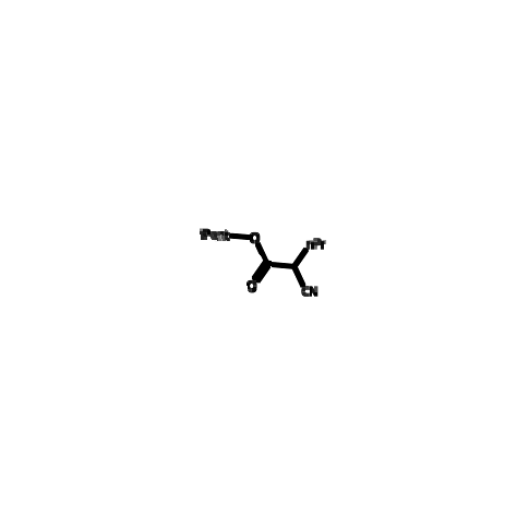 CCCC(C)OC(=O)C(C#N)CCC